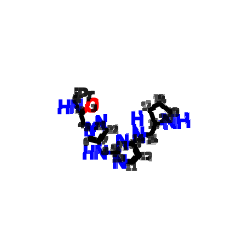 CC(C)NC(=O)Cn1cc(Nc2nccc(NCC3CCCN3)n2)cn1